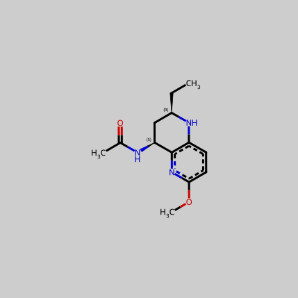 CC[C@@H]1C[C@H](NC(C)=O)c2nc(OC)ccc2N1